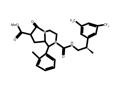 COC(=O)C1CC2C(c3ccccc3C)N(C(=O)NC[C@H](C)c3cc(C(F)(F)F)cc(C(F)(F)F)c3)CCN2C1=O